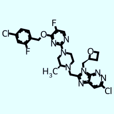 C[C@H]1CN(c2ncc(F)c(OCc3ccc(Cl)cc3F)n2)CCN1Cc1nc2cc(Cl)nnc2n1C[C@@H]1CCO1